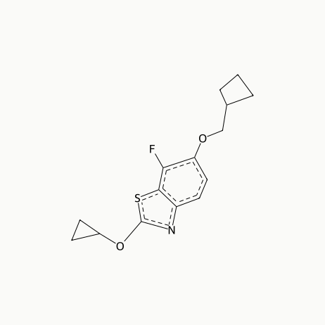 Fc1c(OCC2CCC2)ccc2nc(OC3CC3)sc12